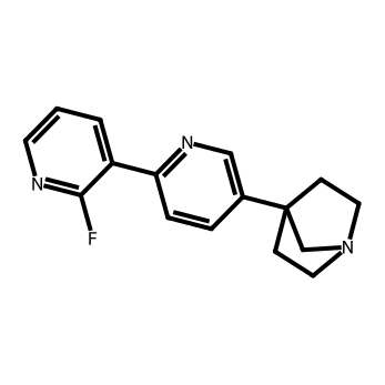 Fc1ncccc1-c1ccc(C23CCN(CC2)C3)cn1